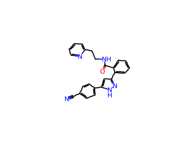 N#Cc1ccc(-c2cc(-c3ccccc3C(=O)NCCc3ccccn3)n[nH]2)cc1